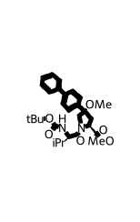 COC(=O)[C@@H]1C[C@@](OC)(c2ccc(-c3ccccc3)cc2)CN1C(=O)[C@@H](NC(=O)OC(C)(C)C)C(C)C